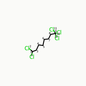 ClC(Cl)CCCCCCC(Cl)(Cl)Cl